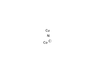 [C].[Co].[Cu].[N]